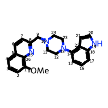 COc1cccc2ccc(CN3CCN(c4cccc5[nH]ccc45)CC3)nc12